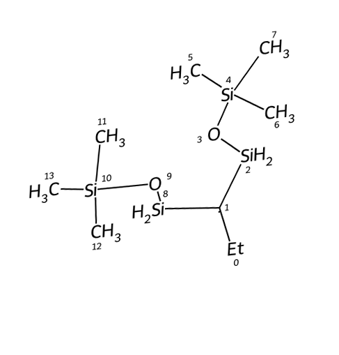 CC[C]([SiH2]O[Si](C)(C)C)[SiH2]O[Si](C)(C)C